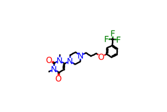 Cn1c(N2CCN(CCCOc3cccc(C(F)(F)F)c3)CC2)cc(=O)n(C)c1=O